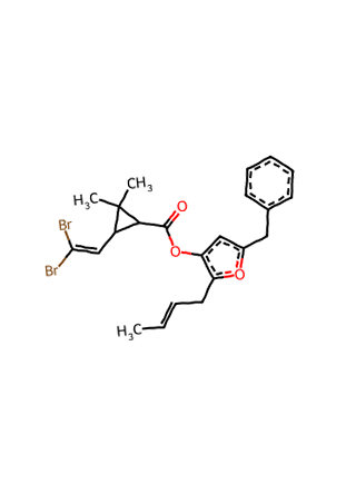 CC=CCc1oc(Cc2ccccc2)cc1OC(=O)C1C(C=C(Br)Br)C1(C)C